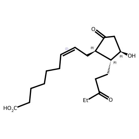 CCC(=O)CC[C@H]1[C@H](O)CC(=O)[C@@H]1C/C=C\CCCCCC(=O)O